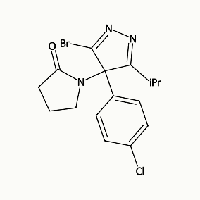 CC(C)C1=NN=C(Br)C1(c1ccc(Cl)cc1)N1CCCC1=O